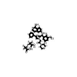 CCOc1cc(CC)cc(C(Nc2ccc3c(N)nccc3c2)c2nc(-c3ccccc3)cn2CC(=O)N2CCOCC2)c1F.O=C(O)C(F)(F)F.O=C(O)C(F)(F)F